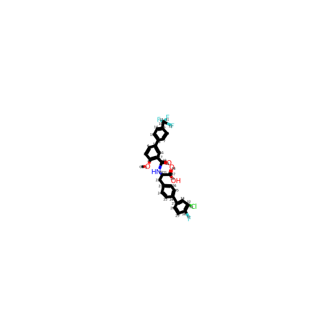 COc1ccc(-c2ccc(C(F)(F)F)cc2)cc1C(=O)NC(Cc1ccc(-c2ccc(F)c(Cl)c2)cc1)C(=O)O